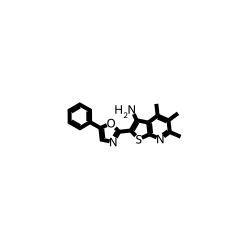 Cc1nc2sc(-c3ncc(-c4ccccc4)o3)c(N)c2c(C)c1C